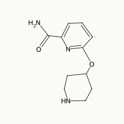 NC(=O)c1cc[c]c(OC2CCNCC2)n1